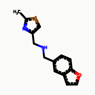 Cc1nc(CNCc2ccc3occc3c2)cs1